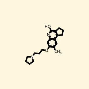 Cc1cc2c3c(c(O)nc2cc1OCCCN1CCCC1)CCC3